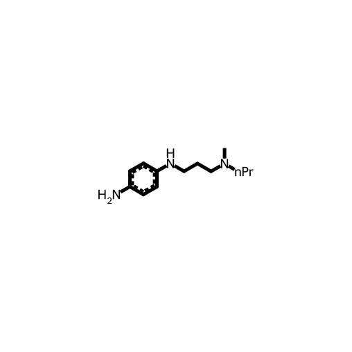 CCCN(C)CCCNc1ccc(N)cc1